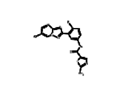 Cc1ncc(C(=O)Nc2ccc(F)c(-c3nc4ncc(Cl)cn4n3)c2)o1